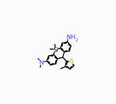 Cc1ccsc1C1c2ccc(N)cc2[Si](C)(C)c2cc(N(C)C)ccc21